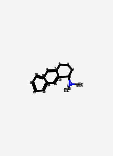 CCN(CC)C1CCCc2cc3ccccc3cc21